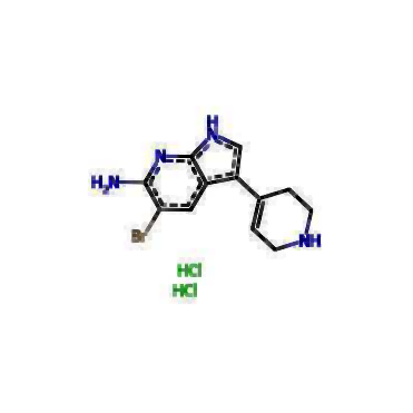 Cl.Cl.Nc1nc2[nH]cc(C3=CCNCC3)c2cc1Br